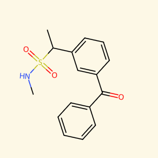 CNS(=O)(=O)C(C)c1cccc(C(=O)c2ccccc2)c1